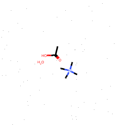 CC(=O)O.C[N+](C)(C)C.O